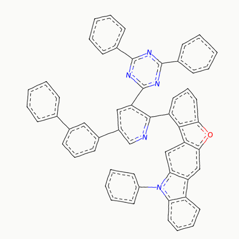 c1ccc(-c2cccc(-c3cnc(-c4cccc5oc6cc7c8ccccc8n(-c8ccccc8)c7cc6c45)c(-c4nc(-c5ccccc5)nc(-c5ccccc5)n4)c3)c2)cc1